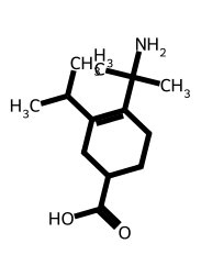 CC(C)C1=C(C(C)(C)N)CCC(C(=O)O)C1